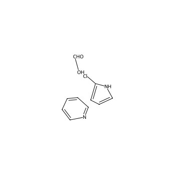 Clc1ccc[nH]1.O=CO.c1ccncc1